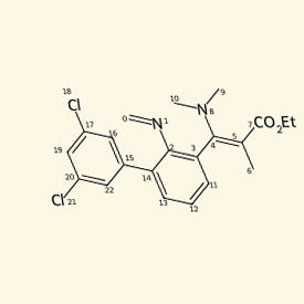 C=Nc1c(/C(=C(\C)C(=O)OCC)N(C)C)cccc1-c1cc(Cl)cc(Cl)c1